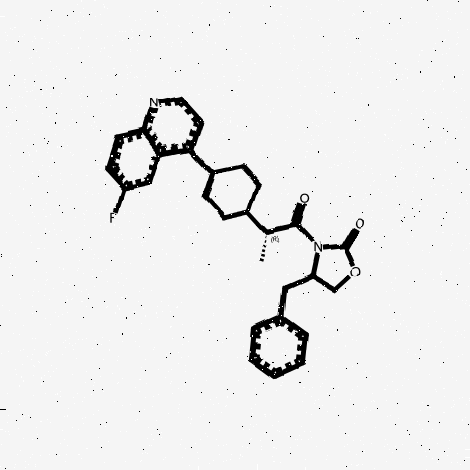 C[C@@H](C(=O)N1C(=O)OCC1Cc1ccccc1)C1CCC(c2ccnc3ccc(F)cc23)CC1